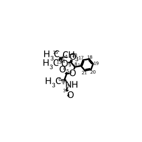 C[C@H](NC=O)C(=O)OC(C(=O)OC(C)(C)C)c1ccccc1